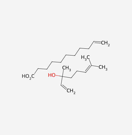 C=CC(C)(O)CCC=C(C)C.C=CCCCCCCCCC(=O)O